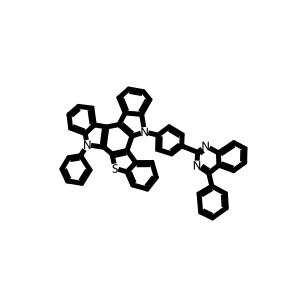 c1ccc(-c2nc(-c3ccc(-n4c5ccccc5c5c6c7ccccc7n(-c7ccccc7)c6c6sc7ccccc7c6c54)cc3)nc3ccccc23)cc1